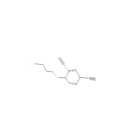 C#Cc1ccc(OCCCCCCCCCCCC)c(C#C)c1